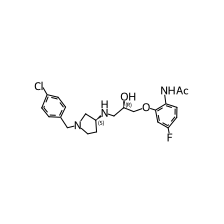 CC(=O)Nc1ccc(F)cc1OC[C@H](O)CN[C@H]1CCN(Cc2ccc(Cl)cc2)C1